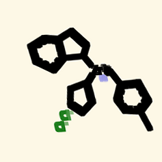 Cc1ccc(/[CH]=[Zr+2](\[C]2=CC=CC2)[CH]2C=Cc3ccccc32)cc1.[Cl-].[Cl-]